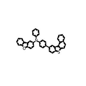 c1ccc(N(c2ccc(-c3ccc4sc5ccc6ccccc6c5c4c3)cc2)c2ccc3oc4ccccc4c3c2)cc1